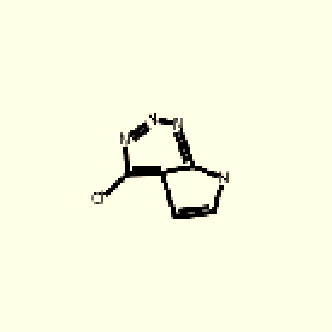 Clc1nnnc2[nH]ccc12